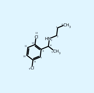 CCCNC(C)c1cc(Cl)ccc1Cl